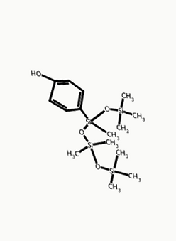 C[Si](C)(C)O[Si](C)(C)O[Si](C)(O[Si](C)(C)C)c1ccc(O)cc1